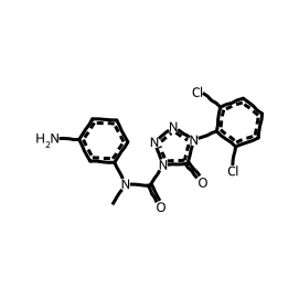 CN(C(=O)n1nnn(-c2c(Cl)cccc2Cl)c1=O)c1cccc(N)c1